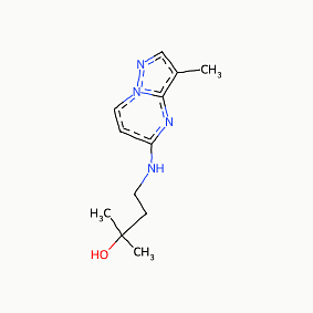 Cc1cnn2ccc(NCCC(C)(C)O)nc12